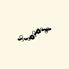 C=COC(=O)CCOc1ccc(C(=O)Sc2ccc(OCCCSC(=O)C=C)cc2)cc1